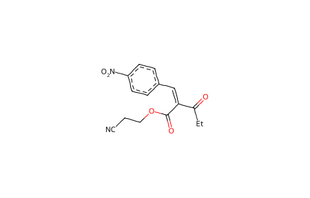 CCC(=O)C(=Cc1ccc([N+](=O)[O-])cc1)C(=O)OCCC#N